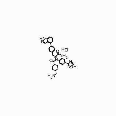 Cl.NC[C@H]1CC[C@H](C(=O)N(c2ccc(-c3nn[nH]n3)cc2)[C@@H](Cc2ccc(-c3cccc4[nH]ncc34)cc2)C(N)=O)CC1